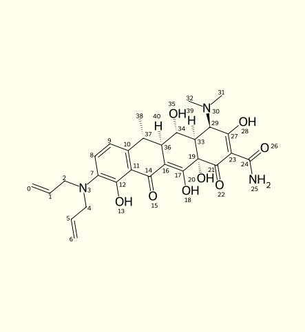 C=CCN(CC=C)c1ccc2c(c1O)C(=O)C1=C(O)[C@]3(O)C(=O)C(C(N)=O)=C(O)[C@H](N(C)C)[C@@H]3[C@@H](O)[C@@H]1[C@H]2C